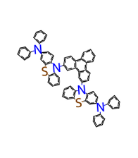 c1ccc(N(c2ccccc2)c2ccc3c(c2)Sc2ccccc2N3c2ccc3c4ccccc4c4ccc(N5c6ccccc6Sc6cc(N(c7ccccc7)c7ccccc7)ccc65)cc4c3c2)cc1